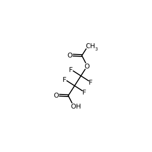 CC(=O)OC(F)(F)C(F)(F)C(=O)O